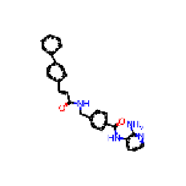 Nc1ncccc1NC(=O)c1ccc(CNC(=O)C=Cc2ccc(-c3ccccc3)cc2)cc1